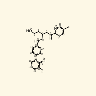 Cc1cnc(NCC(CCO)CNc2ccc(-n3cccc(C)c3=O)cn2)nn1